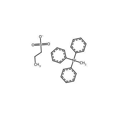 CCCS(=O)(=O)[O-].C[N+](c1ccccc1)(c1ccccc1)c1ccccc1